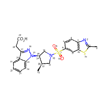 Cc1nc2ccc(S(=O)(=O)N3C[C@@H](C)[C@@H](n4nc(CC(=O)O)c5ccccc54)C3)cc2s1